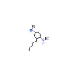 C=CCCCc1cc(NCC)ccc1NCC